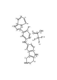 Fc1cnc(Nc2ccc3[nH]c4c(c3c2)CNCC4)nc1-c1cnc2ncccn12.O=C(O)C(F)(F)F